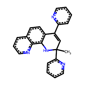 CC1(c2ccccn2)C=C(c2ccccn2)c2ccc3cccnc3c2N1